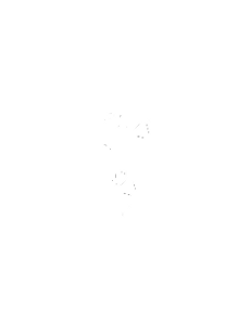 COC(=O)C(CCCN(C)CCCc1nc2cc(OC)ccc2[nH]1)(c1ccc(F)cc1)C(C)C